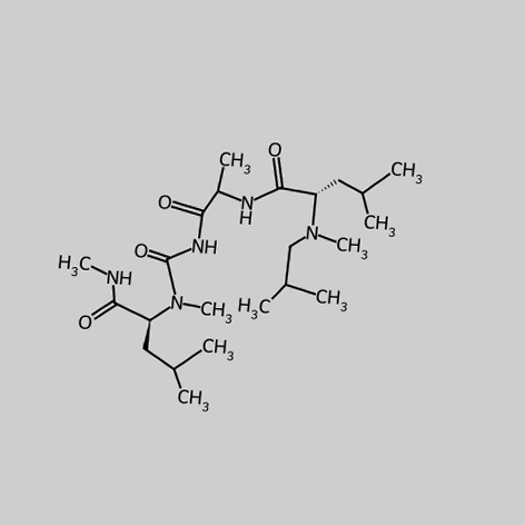 CNC(=O)[C@H](CC(C)C)N(C)C(=O)NC(=O)C(C)NC(=O)[C@H](CC(C)C)N(C)CC(C)C